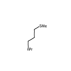 [CH2]CCCCCSC